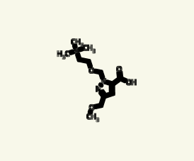 COCc1cc(C(=O)O)n(COCC[Si](C)(C)C)n1